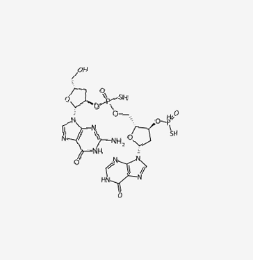 Nc1nc2c(ncn2[C@@H]2O[C@H](CO)C[C@H]2OP(=O)(S)OC[C@H]2O[C@@H](n3cnc4c(=O)[nH]cnc43)C[C@@H]2O[PH](=O)S)c(=O)[nH]1